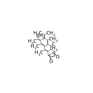 CC(C)=c1c(C)c2c(C)c3c(c(C)c2c(C)c1=C(C)C)C1C=CC3C(=O)C1=O